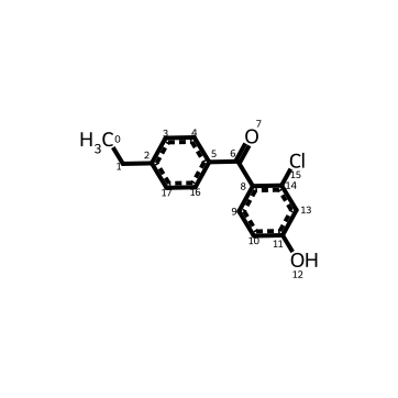 CCc1ccc(C(=O)c2ccc(O)cc2Cl)cc1